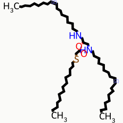 CCCCCCCC/C=C\CCCCCCCCNCC(CNCCCCCCCC/C=C\CCCCCCCC)OC(=O)CSCCCCCCCCCCCCCC